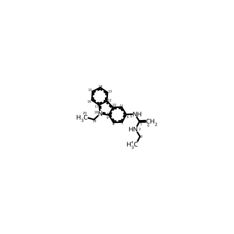 C=C(NCC)Nc1ccc2c(c1)c1ccccc1n2CC